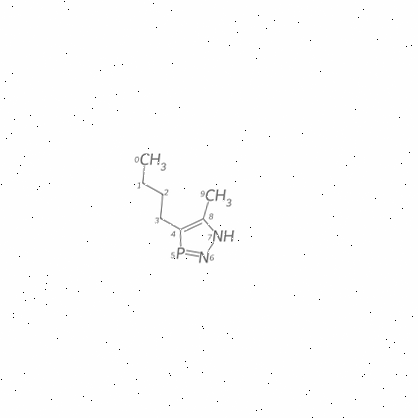 CCCCc1pn[nH]c1C